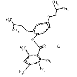 Cc1cc(C)c(C(=O)Pc2ccc(OCC(C)C)cc2OCC(C)C)c(C)c1C.[Li]